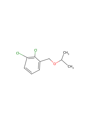 CC(C)OCc1cccc(Cl)c1Cl